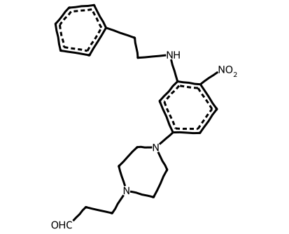 O=CCCN1CCN(c2ccc([N+](=O)[O-])c(NCCc3ccccc3)c2)CC1